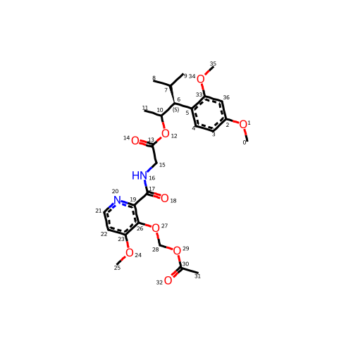 COc1ccc([C@H](C(C)C)C(C)OC(=O)CNC(=O)c2nccc(OC)c2OCOC(C)=O)c(OC)c1